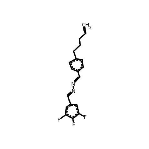 C=CCCCc1ccc(C=NN=Cc2cc(F)c(F)c(F)c2)cc1